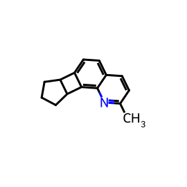 Cc1ccc2ccc3c(c2n1)C1CCCC31